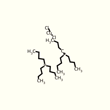 CCCCP(CCCC)CCCC.CCCCP(CCCC)CCCC.[Cl][Cu][Cl]